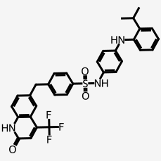 CC(C)c1ccccc1Nc1ccc(NS(=O)(=O)c2ccc(Cc3ccc4[nH]c(=O)cc(C(F)(F)F)c4c3)cc2)cc1